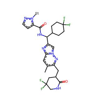 CCn1nccc1C(=O)NC(c1cn2nc(CC3CC(F)(F)CNC3=O)c(C)cc2n1)C1CCC(F)(F)CC1